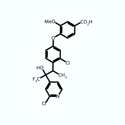 COc1cc(C(=O)O)ccc1Oc1ccc(C(C)C(O)(c2ccnc(Cl)c2)C(F)(F)F)c(Cl)c1